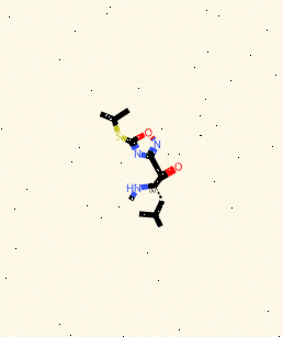 CN[C@@H](CC(C)C)C(=O)c1noc(SC(C)C)n1